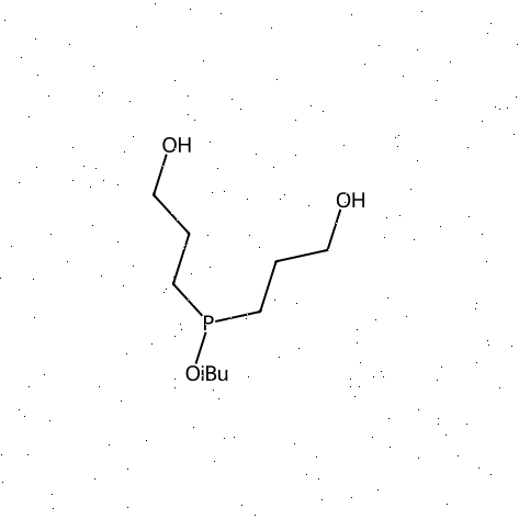 CC(C)COP(CCCO)CCCO